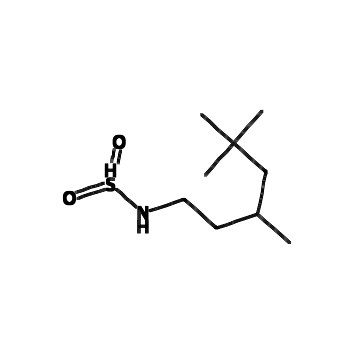 CC(CCN[SH](=O)=O)CC(C)(C)C